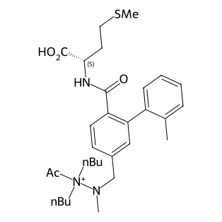 CCCC[N+](CCCC)(C(C)=O)N(C)Cc1ccc(C(=O)N[C@@H](CCSC)C(=O)O)c(-c2ccccc2C)c1